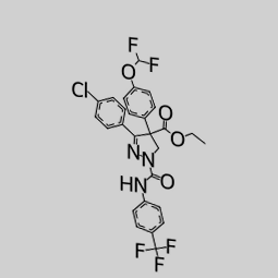 CCOC(=O)C1(c2ccc(OC(F)F)cc2)CN(C(=O)Nc2ccc(C(F)(F)F)cc2)N=C1c1ccc(Cl)cc1